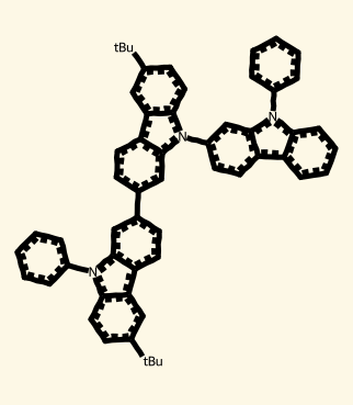 CC(C)(C)c1ccc2c(c1)c1ccc(-c3ccc4c5cc(C(C)(C)C)ccc5n(-c5ccc6c7ccccc7n(-c7ccccc7)c6c5)c4c3)cc1n2-c1ccccc1